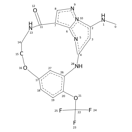 CNc1cc2nc3c(cnn13)C(=O)NCCOc1ccc(OC(F)(F)F)c(c1)N2